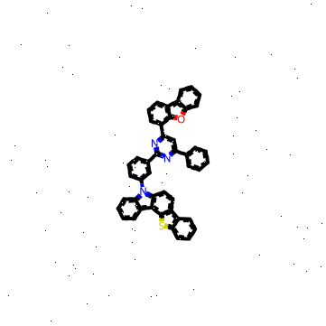 c1ccc(-c2cc(-c3cccc4c3oc3ccccc34)nc(-c3cccc(-n4c5ccccc5c5c6sc7ccccc7c6ccc54)c3)n2)cc1